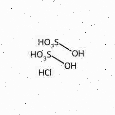 Cl.O=S(=O)(O)O.O=S(=O)(O)O